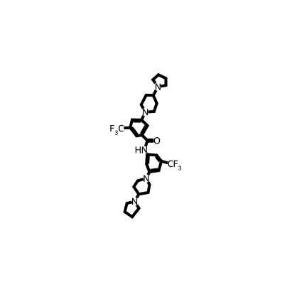 O=C(Nc1cc(N2CCC(N3CCCC3)CC2)cc(C(F)(F)F)c1)c1cc(N2CCC(N3CCCC3)CC2)cc(C(F)(F)F)c1